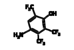 Nc1cc(C(F)(F)F)c(O)c(C(F)(F)F)c1C(F)(F)F